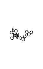 c1ccc(-c2nc(-c3ccc4oc5ccc(-c6cccc7c6oc6ccccc67)cc5c4c3)nc(-c3cccc4sc5ccccc5c34)n2)cc1